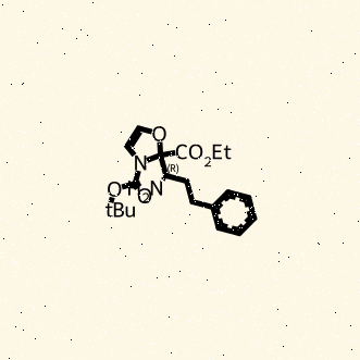 CCOC(=O)C1([C@H](N)CCc2ccccc2)OC=CN1C(=O)OC(C)(C)C